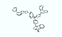 c1ccc(-c2cccc3c2oc2ccc(-c4ccc(N(c5ccc(-c6cc7ccccc7c7ccccc67)cc5)c5ccc(-c6cccc7sc8ccccc8c67)cc5)cc4)cc23)cc1